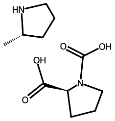 C[C@H]1CCCN1.O=C(O)[C@@H]1CCCN1C(=O)O